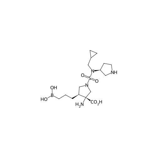 N[C@@]1(C(=O)O)CN(S(=O)(=O)N(CC2CC2)[C@H]2CCNC2)C[C@@H]1CCCB(O)O